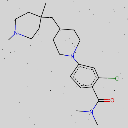 CN1CCC(C)(CC2CCN(c3ccc(C(=O)N(C)C)c(Cl)c3)CC2)CC1